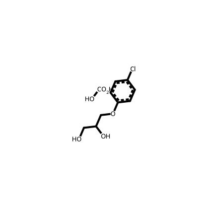 O=C(O)O.OCC(O)COc1ccc(Cl)cc1